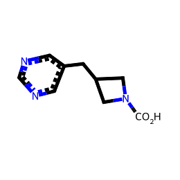 O=C(O)N1CC(Cc2cncnc2)C1